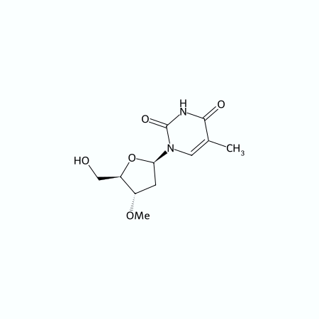 CO[C@H]1C[C@H](n2cc(C)c(=O)[nH]c2=O)O[C@@H]1CO